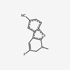 CN1CC(F)=Cc2c1sc1ccc(C#N)cc21